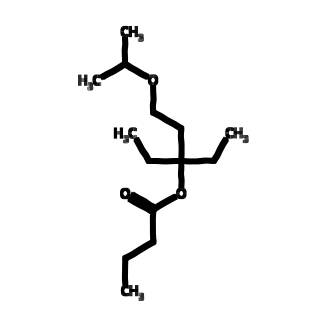 CCCC(=O)OC(CC)(CC)CCOC(C)C